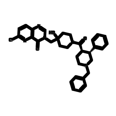 O=C([C@@H]1CCN(Cc2ccccc2)C[C@H]1c1ccccc1)N1CCC(O)(Cn2cnc3ccc(Cl)nc3c2=O)CC1